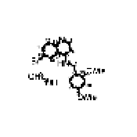 COc1ccc(CNc2ccnc3ccc(Br)cc23)c(OC)c1.O=CO